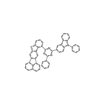 c1ccc(-c2nc(-c3ccc4c(c3)c3ccccc3n4-c3ccccc3)nc(-c3cccc4sc5cc6c(cc5c34)-c3cccc4cccc-6c34)n2)cc1